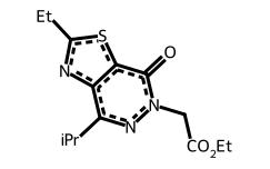 CCOC(=O)Cn1nc(C(C)C)c2nc(CC)sc2c1=O